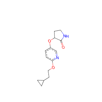 O=C1NCCC1Oc1ccc(OCCC2CC2)nc1